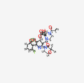 C=CC(=O)N1CCN2C(=O)c3c(N4CCOC(C)(C)C4)nc(-c4c(O)cccc4F)c(Cl)c3O[C@H](O)[C@@H]2C1